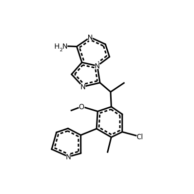 COc1c(C(C)c2ncc3c(N)nccn23)cc(Cl)c(C)c1-c1cccnc1